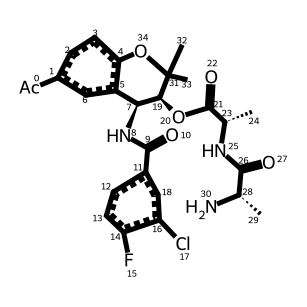 CC(=O)c1ccc2c(c1)[C@H](NC(=O)c1ccc(F)c(Cl)c1)[C@H](OC(=O)[C@H](C)NC(=O)[C@H](C)N)C(C)(C)O2